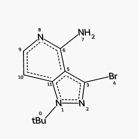 CC(C)(C)n1nc(Br)c2c(N)nccc21